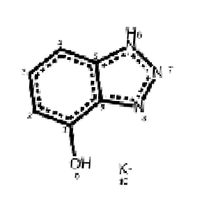 Oc1cccc2[nH]nnc12.[K]